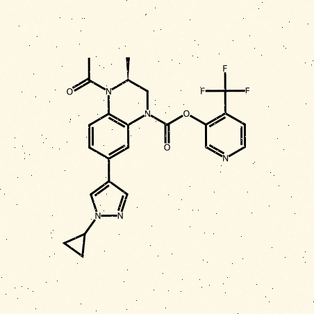 CC(=O)N1c2ccc(-c3cnn(C4CC4)c3)cc2N(C(=O)Oc2cnccc2C(F)(F)F)C[C@@H]1C